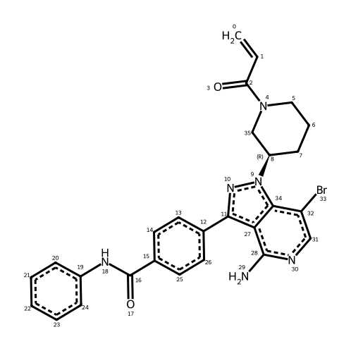 C=CC(=O)N1CCC[C@@H](n2nc(-c3ccc(C(=O)Nc4ccccc4)cc3)c3c(N)ncc(Br)c32)C1